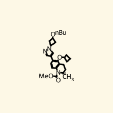 CCCCOC1CC(n2cc(-c3ccc4c(c3OC3CCC3)CC[C@H](C)N4C(=O)OC)cn2)C1